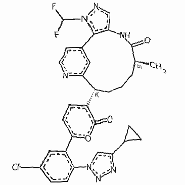 C[C@H]1CCC[C@H](c2ccc(-c3cc(Cl)ccc3-n3cc(C4CC4)nn3)oc2=O)c2cc(ccn2)-c2c(cnn2C(F)F)NC1=O